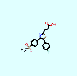 CS(=O)(=O)c1ccc(-c2nc(CCC(=O)O)sc2-c2ccc(F)cc2)cc1